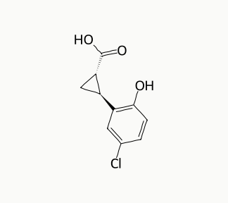 O=C(O)[C@H]1C[C@@H]1c1cc(Cl)ccc1O